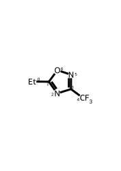 CCc1nc(C(F)(F)F)no1